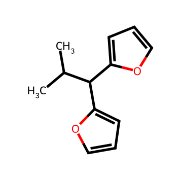 CC(C)C(c1ccco1)c1ccco1